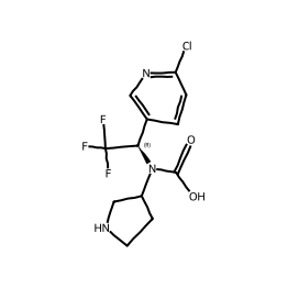 O=C(O)N(C1CCNC1)[C@H](c1ccc(Cl)nc1)C(F)(F)F